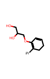 CC(C)C1=C(OCC(O)CO)C=CCC1